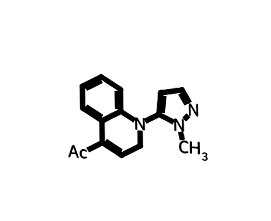 CC(=O)C1=CCN(c2ccnn2C)c2ccccc21